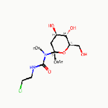 CCCCN(C(=O)NCCCl)[C@]1(OC)C[C@@H](O)[C@H](O)[C@@H](CO)O1